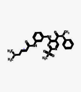 CN(C)C/C=C/C(=O)Nc1cccc(Nc2nc(S(C)(=O)=O)ncc2C(=O)N(C)c2ccccc2)c1